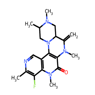 C=C1C2CN(C)C(C)CN2c2c(c(=O)n(C)c3c(F)c(C)ncc23)N1C